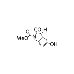 COC(=O)N1CC2=CC=C(O)CC2CC1C(=O)O